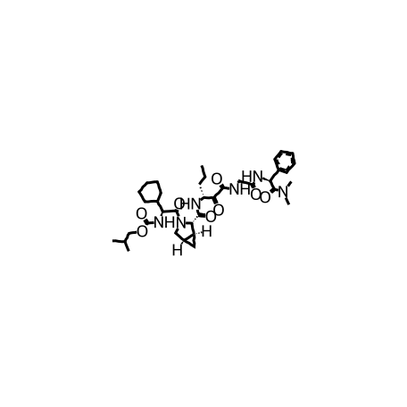 CCC[C@@H](NC(=O)[C@@H]1[C@H]2C[C@H]2CN1C(=O)[C@@H](NC(=O)OCC(C)C)C1CCCCC1)C(=O)C(=O)NCC(=O)N[C@H](C(=O)N(C)C)c1ccccc1